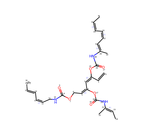 C=C/C(=C\C(=C/COC(=O)NC/C=C\C=CCCC)OC(=O)N/C(C)=C/C)OC(=O)N/C(C)=C/C=C\C=C/C